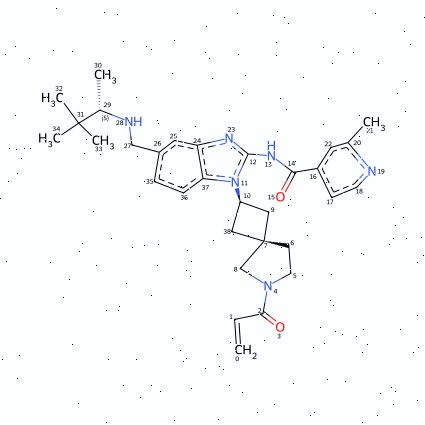 C=CC(=O)N1CC[C@]2(C1)C[C@H](n1c(NC(=O)c3ccnc(C)c3)nc3cc(CN[C@@H](C)C(C)(C)C)ccc31)C2